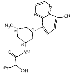 CC(C)C(O)C(=O)N[C@@H]1C[C@H](C)C[C@H](c2ccc(C#N)c3nccnc23)C1